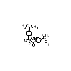 CC(C)c1ccc(C(=O)P(=O)(O)C(=O)c2ccc(C(C)C)cc2)cc1